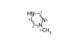 CN1C=INC=N1